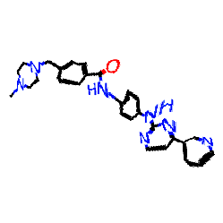 CN1CCN(Cc2ccc(C(=O)Nc3ccc(Nc4nccc(-c5cccnc5)n4)cc3)cc2)CC1